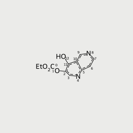 CCOC(=O)Oc1cnc2ccncc2c1O